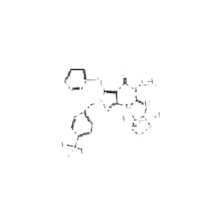 CN1C(=O)c2c(nn(Cc3ccc(C(F)(F)F)cc3)c2Sc2ccccc2)N2C1=N[C@H]1CCC[C@H]12